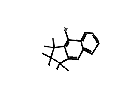 CC1(C)c2cc3ccccc3c(Br)c2C(C)(C)C1(C)C